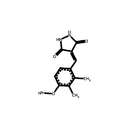 CCCOc1ccc(C=C2C(=O)NNC2=O)c(C)c1C